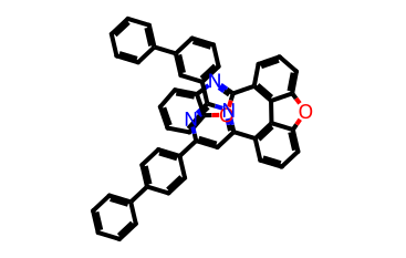 c1ccc(-c2ccc(-c3cc(-c4cccc5oc6cccc(-c7nc8ccccc8o7)c6c45)nc(-c4cccc(-c5ccccc5)c4)n3)cc2)cc1